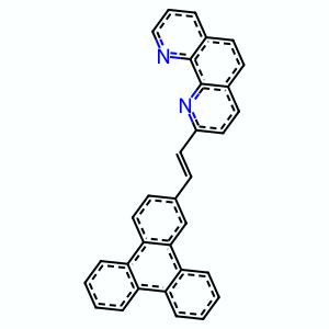 C(=C\c1ccc2ccc3cccnc3c2n1)/c1ccc2c3ccccc3c3ccccc3c2c1